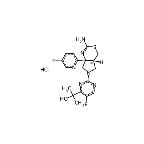 CC(C)(O)c1nc(N2C[C@H]3CSC(N)=NC3(c3ccc(F)cn3)C2)ncc1F.Cl